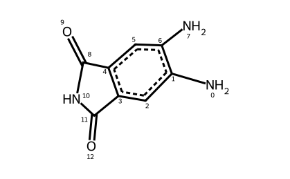 Nc1cc2c(cc1N)C(=O)NC2=O